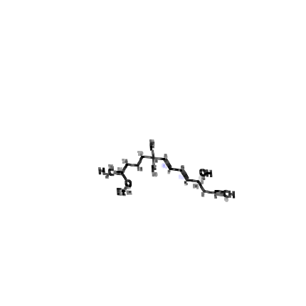 C#CC[C@@H](O)/C=C/C=C/C(F)(F)CCCC(=C)OCC